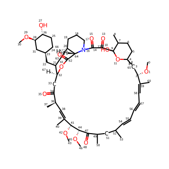 CO[C@H]1C[C@@H]2CCC(C)C(O)(O2)C(=O)C(=O)N2CCC[C@@H]3C(C[C@@H]4CC[C@@H](O)[C@H](OC)C4)[C@H](CC(=O)[C@H](C)/C=C(\C)[C@@H](OC)[C@@H](OC)C(=O)C(C)CC(C)/C=C/C=C/C=C/1C)OC(=O)[C@H]32